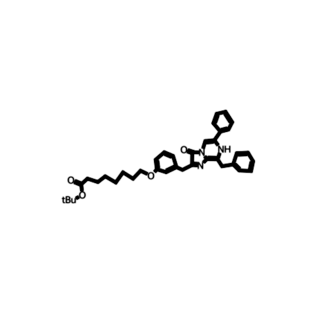 CC(C)(C)OC(=O)CCCCCCCOc1cccc(Cc2nc3c(Cc4ccccc4)[nH]c(-c4ccccc4)cn-3c2=O)c1